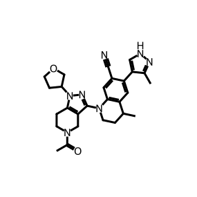 CC(=O)N1CCc2c(c(N3CCC(C)c4cc(-c5c[nH]nc5C)c(C#N)cc43)nn2C2CCOC2)C1